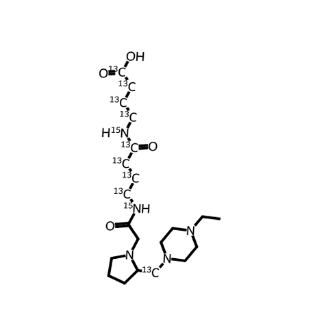 CCN1CCN([13CH2]C2CCCN2CC(=O)[15NH][13CH2][13CH2][13CH2][13C](=O)[15NH][13CH2][13CH2][13CH2][13C](=O)O)CC1